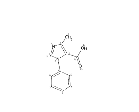 Cc1nnn(-c2ccccc2)c1C(=O)O